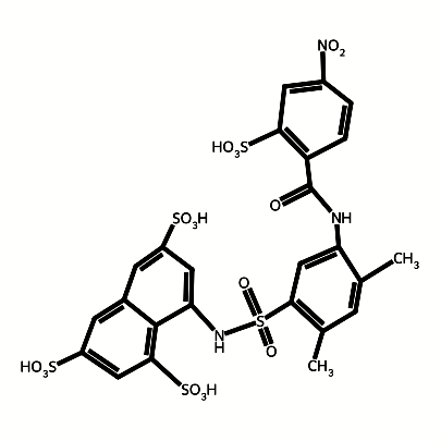 Cc1cc(C)c(S(=O)(=O)Nc2cc(S(=O)(=O)O)cc3cc(S(=O)(=O)O)cc(S(=O)(=O)O)c23)cc1NC(=O)c1ccc([N+](=O)[O-])cc1S(=O)(=O)O